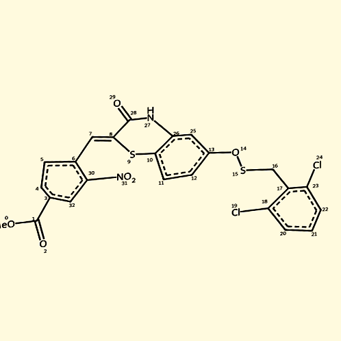 COC(=O)c1ccc(/C=C2\Sc3ccc(OSCc4c(Cl)cccc4Cl)cc3NC2=O)c([N+](=O)[O-])c1